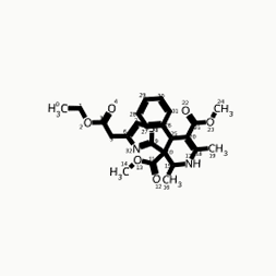 CCOC(=O)Cc1csc(C2(C(=O)OC)C(C)NC(C)=C(C(=O)OC)C2c2ccccc2)n1